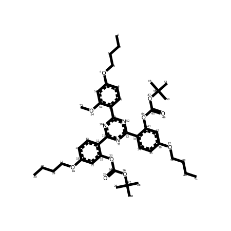 CCCCOc1ccc(-c2nc(-c3ccc(OCCCC)cc3OC(=O)OC(C)(C)C)nc(-c3ccc(OCCCC)cc3OC(=O)OC(C)(C)C)n2)c(OC)c1